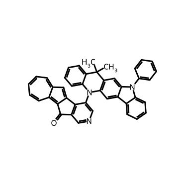 CC1(C)c2ccccc2N(c2cncc3c2-c2cc4cccccc-4c2C3=O)c2cc3c4ccccc4n(-c4ccccc4)c3cc21